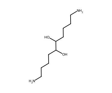 NCCCCC(O)C(O)CCCCN